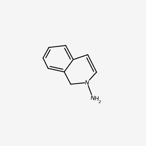 NN1C=Cc2ccccc2C1